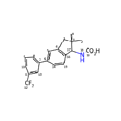 CC1(C)Cc2cc(-c3cccc(C(F)(F)F)c3)ccc2C1NC(=O)O